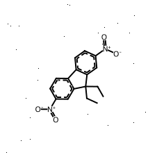 CCC1(CC)c2cc([N+](=O)[O-])ccc2-c2ccc([N+](=O)[O-])cc21